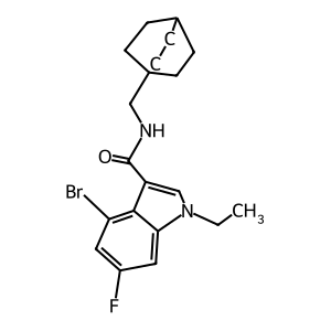 CCn1cc(C(=O)NCC23CCC(CC2)CC3)c2c(Br)cc(F)cc21